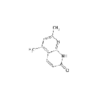 Cc1cc(C(F)(F)F)c2ccc(=O)[nH]c2n1